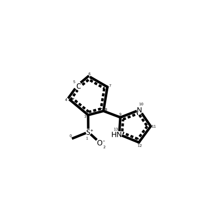 C[S+]([O-])c1ccccc1-c1ncc[nH]1